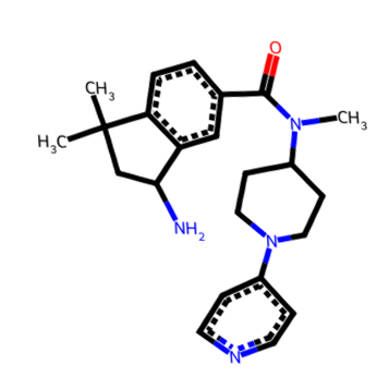 CN(C(=O)c1ccc2c(c1)C(N)CC2(C)C)C1CCN(c2ccncc2)CC1